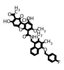 COc1cc(O)c2c(c1C(=O)NCc1c(C)c(C)c(OCc3ccc(F)cc3)c3ccccc13)OC1=CC(O)=C(C(C)=O)C(=O)[C@]12C